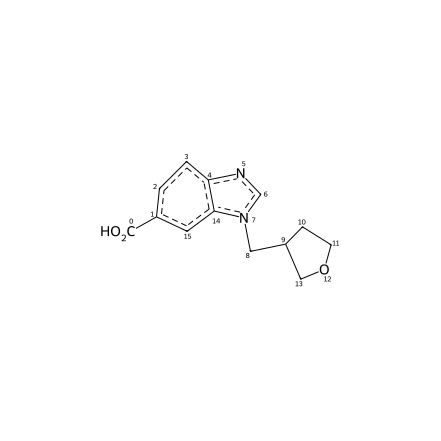 O=C(O)c1ccc2ncn(CC3CCOC3)c2c1